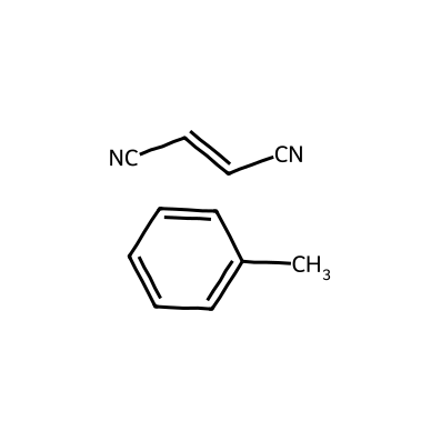 Cc1ccccc1.N#CC=CC#N